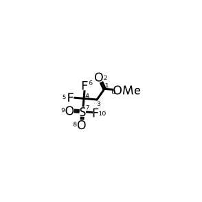 COC(=O)CC(F)(F)S(=O)(=O)F